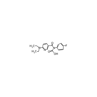 CCN(CC)c1ccc(C(=O)N(C(=O)O)c2ccc(F)cc2)cn1